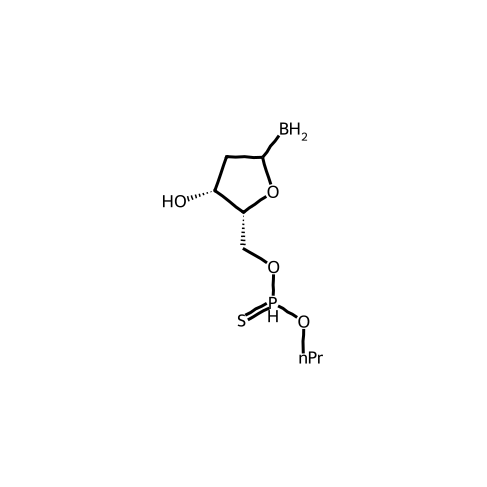 BC1C[C@@H](O)[C@@H](CO[PH](=S)OCCC)O1